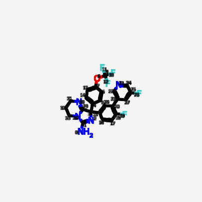 NC1=NC(c2ccc(OC(F)(F)F)cc2)(c2ccc(F)c(-c3cncc(F)c3)c2)C2=NCCCN12